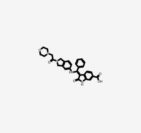 O=C1Nc2cc(C(=O)O)ccc2/C1=C(/Nc1ccc2c(c1)CN(C(=O)CN1CCOCC1)C2)c1ccccc1